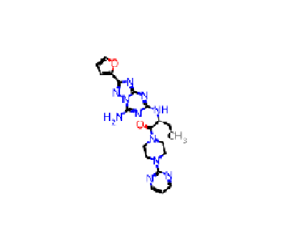 CC[C@H](Nc1nc(N)n2nc(-c3ccco3)nc2n1)C(=O)N1CCN(c2ncccn2)CC1